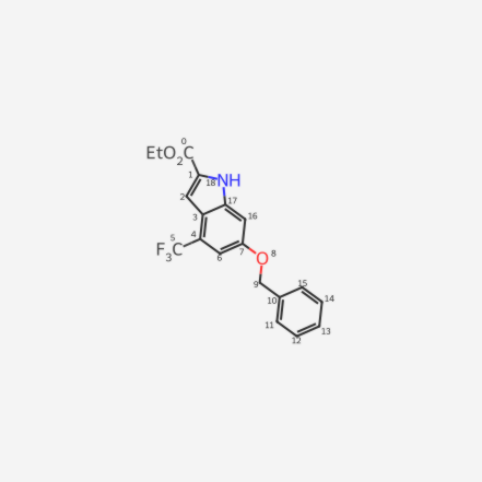 CCOC(=O)c1cc2c(C(F)(F)F)cc(OCc3ccccc3)cc2[nH]1